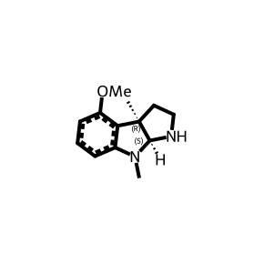 COc1cccc2c1[C@@]1(C)CCN[C@H]1N2C